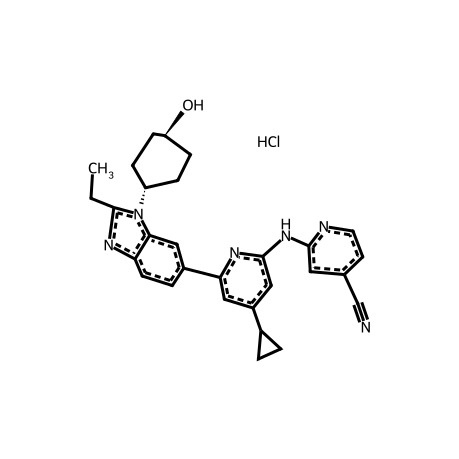 CCc1nc2ccc(-c3cc(C4CC4)cc(Nc4cc(C#N)ccn4)n3)cc2n1[C@H]1CC[C@H](O)CC1.Cl